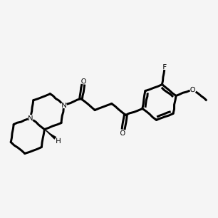 COc1ccc(C(=O)CCC(=O)N2CCN3CCCC[C@H]3C2)cc1F